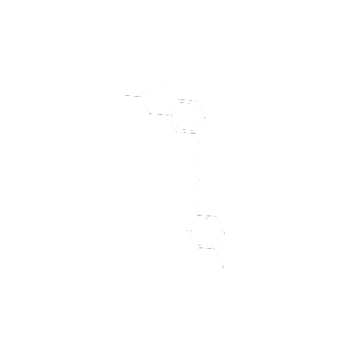 CCC(Cc1cccc(OCCOc2ccc(C(C)C)cc2)c1)C(=O)O